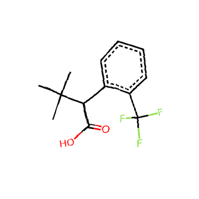 CC(C)(C)C(C(=O)O)c1ccccc1C(F)(F)F